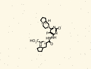 O=C(O)NC[C@@H](CC1CCCC1)C(=O)NNc1nc(Cl)nc(N2CCN3CCC[C@H]3C2)c1F